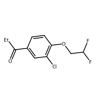 CCC(=O)c1ccc(OCC(F)F)c(Cl)c1